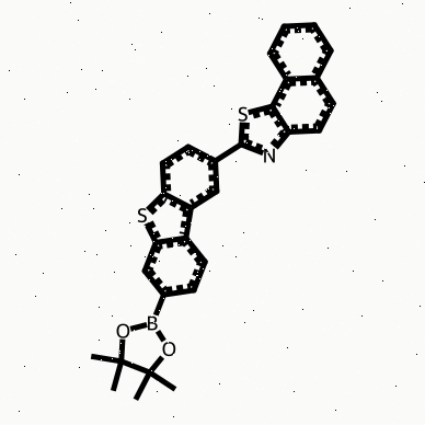 CC1(C)OB(c2ccc3c(c2)sc2ccc(-c4nc5ccc6ccccc6c5s4)cc23)OC1(C)C